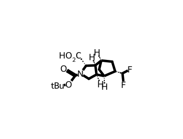 CC(C)(C)OC(=O)N1C[C@@H]2[C@H]3C[C@H](C[C@@H]3C(F)F)[C@@H]2[C@H]1C(=O)O